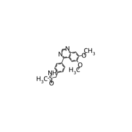 COc1cc2ncnc(-c3ccc(CS(C)(=N)=O)cc3)c2cc1OC